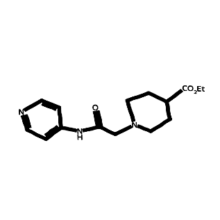 CCOC(=O)C1CCN(CC(=O)Nc2ccncc2)CC1